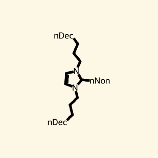 CCCCCCCCCCCCCN1C=CN(CCCCCCCCCCCCC)C1CCCCCCCCC